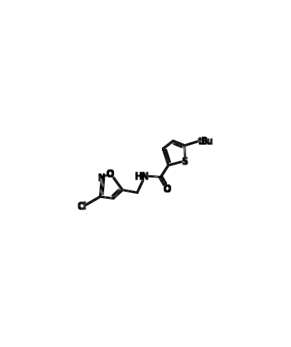 CC(C)(C)c1ccc(C(=O)NCc2cc(Cl)no2)s1